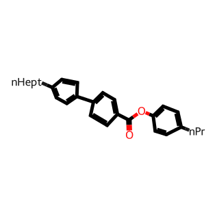 CCCCCCCc1ccc(-c2ccc(C(=O)Oc3ccc(CCC)cc3)cc2)cc1